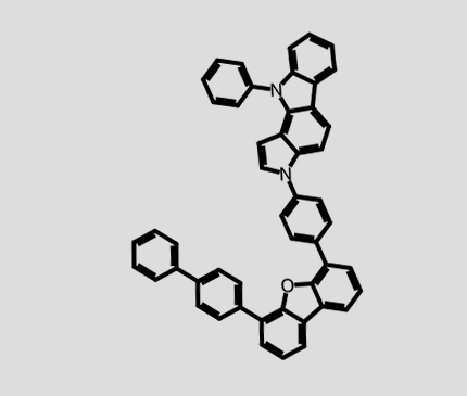 c1ccc(-c2ccc(-c3cccc4c3oc3c(-c5ccc(-n6ccc7c6ccc6c8ccccc8n(-c8ccccc8)c67)cc5)cccc34)cc2)cc1